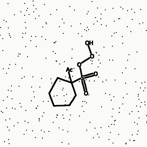 CC(=O)C1(S(=O)(=O)OOO)CCCCC1